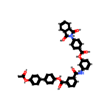 CC(=O)Oc1ccc(-c2ccc(OC(=O)c3cccc(C(=O)Nc4cccc(OC(=O)c5ccc(N6C(=O)C7CC=CCC7C6=O)cc5)c4)c3)cc2)cc1